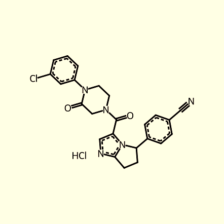 Cl.N#Cc1ccc(C2CCc3ncc(C(=O)N4CCN(c5cccc(Cl)c5)C(=O)C4)n32)cc1